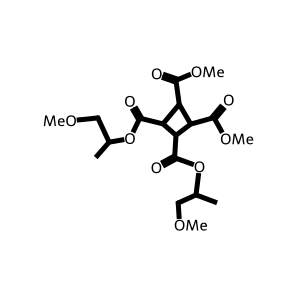 COCC(C)OC(=O)C1C(C(=O)OC)C(C(=O)OC)C1C(=O)OC(C)COC